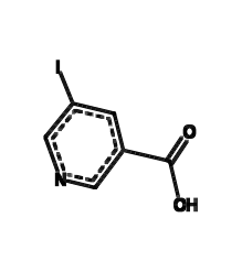 O=C(O)c1cncc(I)c1